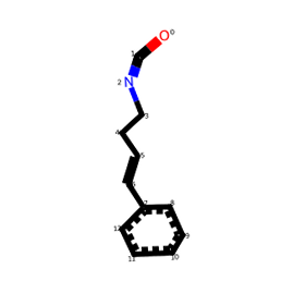 O=C=NCCC=Cc1ccccc1